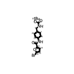 CC(C)(C)OC(=O)NCc1ccc(NC(=O)c2ccc(Br)o2)cc1